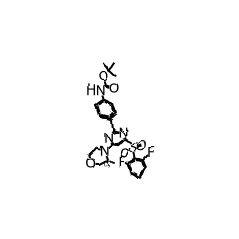 C[C@H]1COCCN1c1cc(CS(=O)(=O)c2c(F)cccc2F)nc(-c2ccc(NC(=O)OC(C)(C)C)cc2)n1